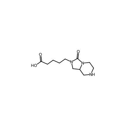 O=C(O)CCCCN1CC2CNCCN2C1=O